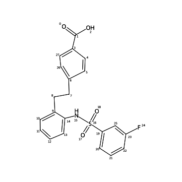 O=C(O)c1ccc(CCc2ccccc2NS(=O)(=O)c2cccc(F)c2)cc1